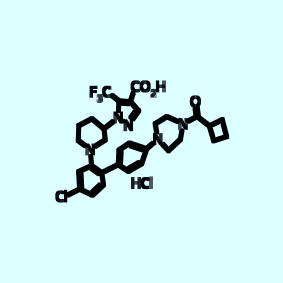 Cl.O=C(O)c1cnn(C2CCCN(c3cc(Cl)ccc3-c3ccc(N4CCN(C(=O)C5CCC5)CC4)cc3)C2)c1C(F)(F)F